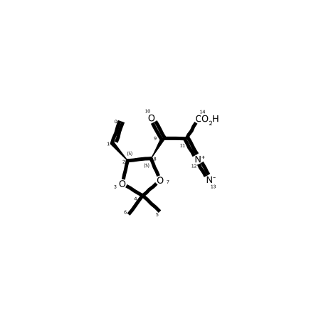 C=C[C@@H]1OC(C)(C)O[C@@H]1C(=O)C(=[N+]=[N-])C(=O)O